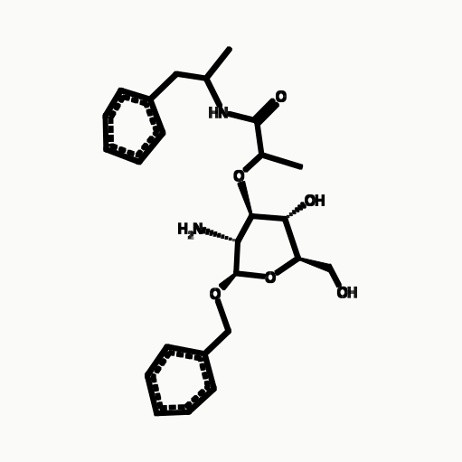 CC(Cc1ccccc1)NC(=O)C(C)O[C@@H]1[C@@H](N)[C@H](OCc2ccccc2)O[C@H](CO)[C@H]1O